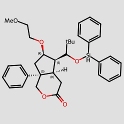 COCCO[C@@H]1C[C@]2(c3ccccc3)COC(=O)C[C@@H]2[C@@H]1C(O[SiH](c1ccccc1)c1ccccc1)C(C)(C)C